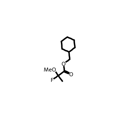 COC(C)(F)C(=O)OCC1CCCCC1